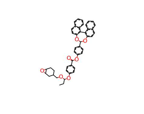 CCC(OCC1CCC2OC2C1)Oc1ccc(C(=O)Oc2ccc(C3Oc4ccc5ccccc5c4-c4c(ccc5ccccc45)O3)cc2)cc1